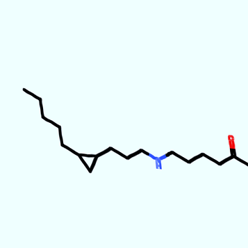 CCCCCC1CC1CCCNCCCCC(C)=O